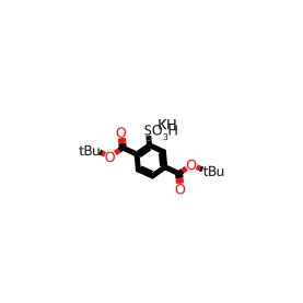 CC(C)(C)OC(=O)c1ccc(C(=O)OC(C)(C)C)c(S(=O)(=O)O)c1.[KH]